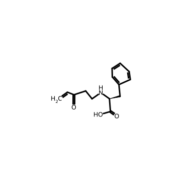 C=CC(=O)CCN[C@@H](Cc1ccccc1)C(=O)O